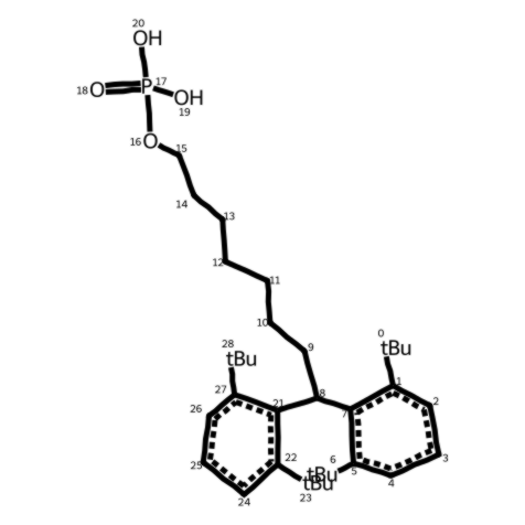 CC(C)(C)c1cccc(C(C)(C)C)c1C(CCCCCCCOP(=O)(O)O)c1c(C(C)(C)C)cccc1C(C)(C)C